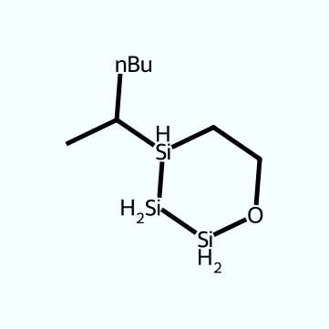 CCCCC(C)[SiH]1CCO[SiH2][SiH2]1